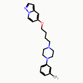 FC(F)(F)c1cccc(N2CCN(CCCCOc3ccn4nccc4c3)CC2)c1